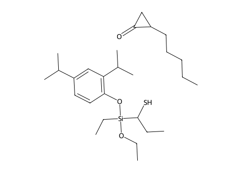 CCCCCC1CC1=O.CCO[Si](CC)(Oc1ccc(C(C)C)cc1C(C)C)C(S)CC